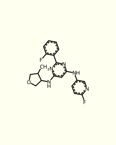 CC1COCC1Nc1cc(Nc2ccc(F)nc2)nc(-c2ccccc2F)n1